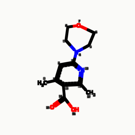 Cc1cc(N2CCOCC2)nc(C)c1C(=O)O